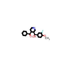 COc1ccc(C(O)c2cnccc2C(=O)c2ccccc2)cc1F